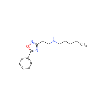 CCCCCNCCc1noc(-c2ccccc2)n1